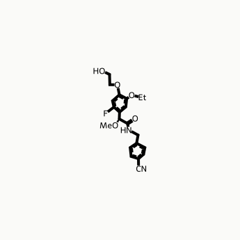 CCOc1cc([C@H](OC)C(=O)NCc2ccc(C#N)cc2)c(F)cc1OCCO